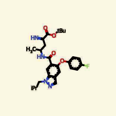 CC(C)Cn1ncc2cc(Oc3ccc(F)cc3)c(C(=O)NC(C)CC(=N)C(=O)OC(C)(C)C)cc21